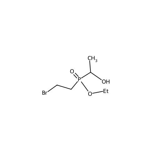 CCOP(=O)(CCBr)C(C)O